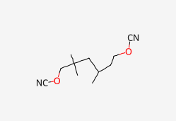 CC(CCOC#N)CC(C)(C)COC#N